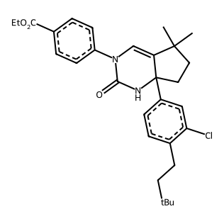 CCOC(=O)c1ccc(N2C=C3C(C)(C)CCC3(c3ccc(CCC(C)(C)C)c(Cl)c3)NC2=O)cc1